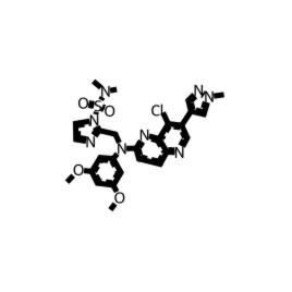 COc1cc(OC)cc(N(Cc2nccn2S(=O)(=O)N(C)C)c2ccc3ncc(-c4cnn(C)c4)c(Cl)c3n2)c1